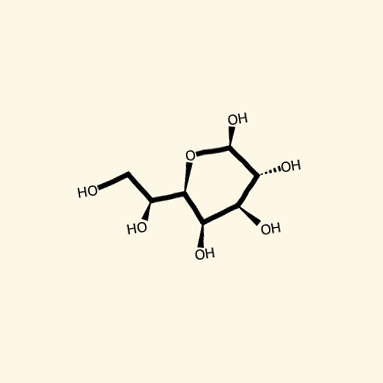 OC[C@H](O)[C@H]1O[C@@H](O)[C@H](O)[C@@H](O)[C@H]1O